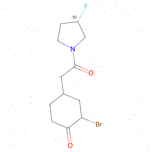 O=C1CCC([CH]C(=O)N2CC[C@H](F)C2)CC1Br